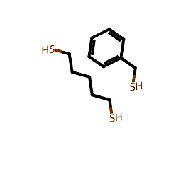 SCCCCCS.SCc1ccccc1